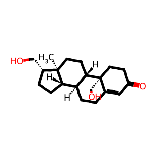 C[C@]12CC[C@H]3[C@@H](CCC4=CC(=O)CC[C@@]43CO)[C@@H]1CC[C@@H]2CO